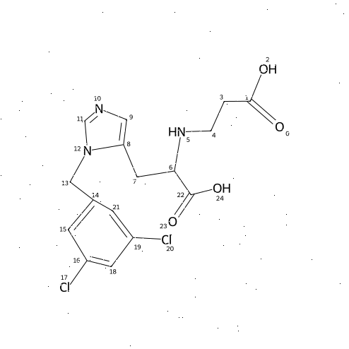 O=C(O)CCNC(Cc1cncn1Cc1cc(Cl)cc(Cl)c1)C(=O)O